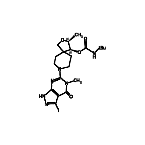 C[C@@H]1OCC2(CCN(c3nc4[nH]nc(I)c4c(=O)n3C)CC2)[C@@H]1OC(=O)NC(C)(C)C